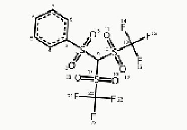 O=S(=O)(c1ccccc1)C(S(=O)(=O)C(F)(F)F)S(=O)(=O)C(F)(F)F